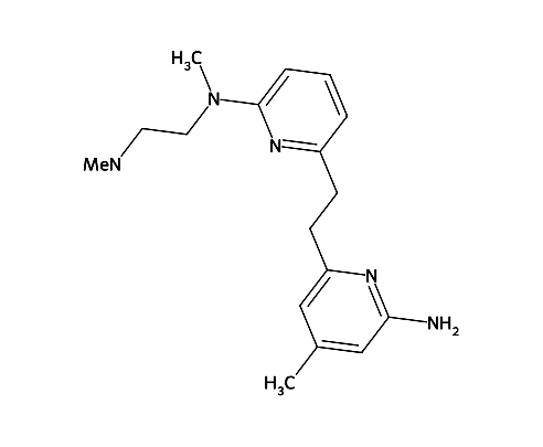 CNCCN(C)c1cccc(CCc2cc(C)cc(N)n2)n1